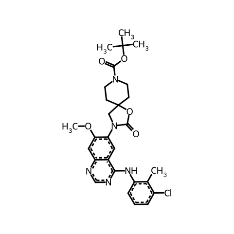 COc1cc2ncnc(Nc3cccc(Cl)c3C)c2cc1N1CC2(CCN(C(=O)OC(C)(C)C)CC2)OC1=O